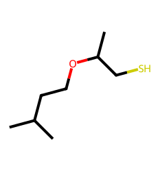 CC(C)CCOC(C)CS